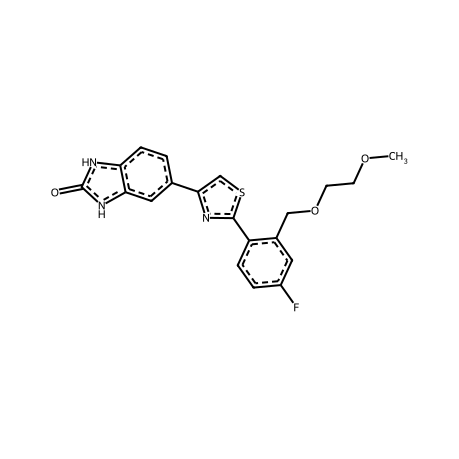 COCCOCc1cc(F)ccc1-c1nc(-c2ccc3[nH]c(=O)[nH]c3c2)cs1